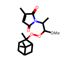 COC(OOC1(C)CCC2CC1C2(C)C)C(C)N1C(=O)C=C(C)C1=O